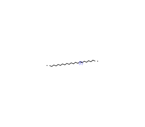 [CH2]CCCCC/C=C/CCCCCCCCCCCCC[CH2]